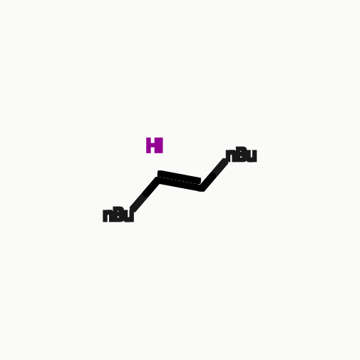 CCCCC=CCCCC.I